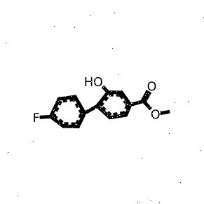 COC(=O)c1ccc(-c2ccc(F)cc2)c(O)c1